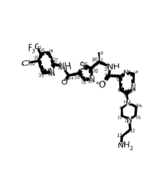 C[C@@H](NC(=O)c1cc(N2CCN(CCN)CC2)ncn1)c1ncc(C(=O)Nc2cc(C(F)(F)F)c(Cl)cn2)s1